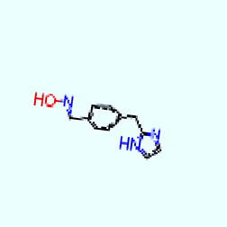 ON=Cc1ccc(Cc2ncc[nH]2)cc1